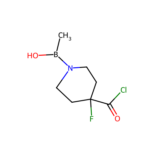 CB(O)N1CCC(F)(C(=O)Cl)CC1